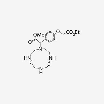 CCOC(=O)COc1ccc(C(C(=O)OC)N2CCNCCNCCNCC2)cc1